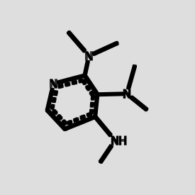 CNc1ccnc(N(C)C)c1N(C)C